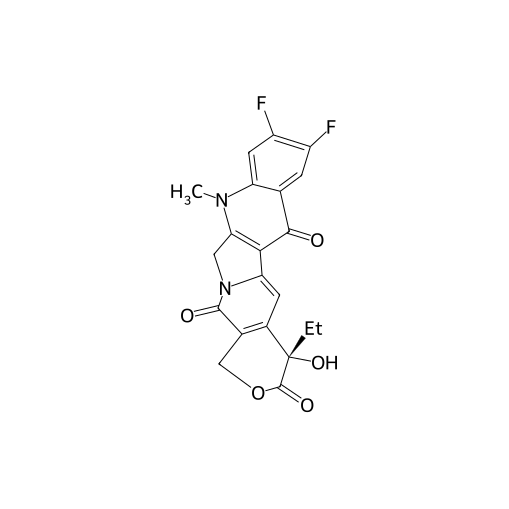 CC[C@@]1(O)C(=O)OCc2c1cc1n(c2=O)Cc2c-1c(=O)c1cc(F)c(F)cc1n2C